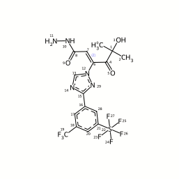 CC(C)(O)C(=O)/C(=C/C(=O)NN)n1cnc(-c2cc(C(F)(F)F)cc(S(F)(F)(F)(F)F)c2)n1